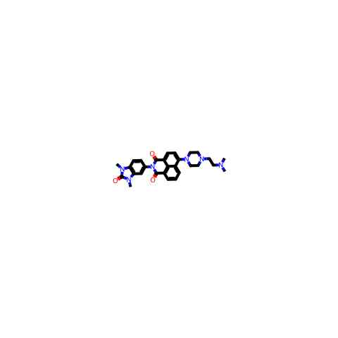 CN(C)CCN1CCN(c2ccc3c4c(cccc24)C(=O)N(c2ccc4c(c2)n(C)c(=O)n4C)C3=O)CC1